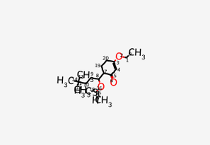 CCOC1=CC(=O)C(C(CCC(C)(C)C)O[SiH](C)C)CC1